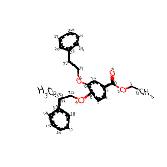 CCOC(=O)c1ccc(OC[C@@H](C)c2ccccc2)c(OCCc2ccccc2)c1